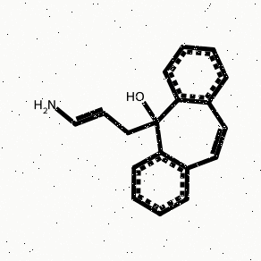 NC=CCC1(O)c2ccccc2C=Cc2ccccc21